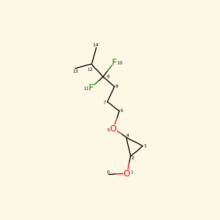 COC1CC1OCCCC(F)(F)C(C)C